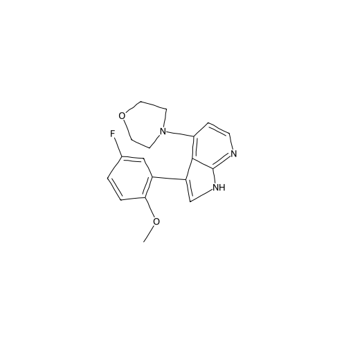 COc1ccc(F)cc1-c1c[nH]c2nccc(N3CCOCC3)c12